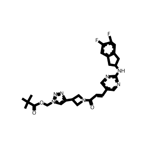 CC(C)(C)C(=O)OCn1cc(C2CN(C(=O)C=Cc3cnc(NC4Cc5cc(F)c(F)cc5C4)nc3)C2)nn1